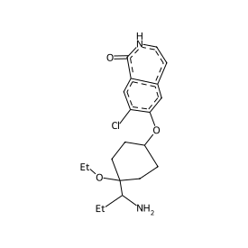 CCOC1(C(N)CC)CCC(Oc2cc3cc[nH]c(=O)c3cc2Cl)CC1